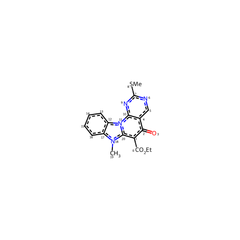 CCOC(=O)c1c(=O)c2cnc(SC)nc2n2c3ccccc3n(C)c12